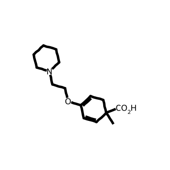 CC1(C(=O)O)C=CC(OCCN2CCCCC2)=CC1